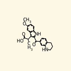 COc1ccc2[nH]c(C(=O)c3ccc4c(c3)NCCC4)c(C(C)C(=O)O)c2c1